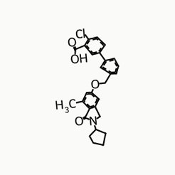 Cc1cc(OCc2cccc(-c3ccc(Cl)c(C(=O)O)c3)c2)cc2c1C(=O)N(C1CCCC1)C2